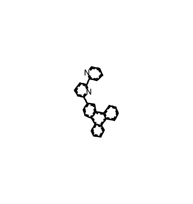 c1ccc(-c2cccc(-c3ccc4c5ccccc5c5ccccc5c4c3)n2)nc1